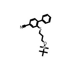 CC(C)(C)[Si](C)(C)OCCCSc1cc(C#N)ccc1-c1ccccc1